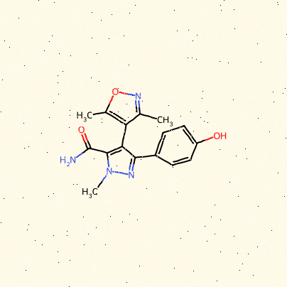 Cc1noc(C)c1-c1c(-c2ccc(O)cc2)nn(C)c1C(N)=O